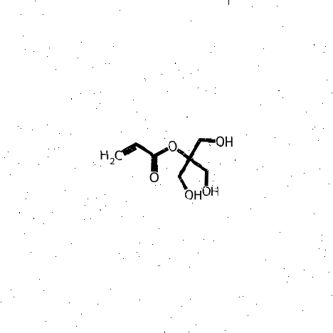 C=CC(=O)OC(CO)(CO)CO